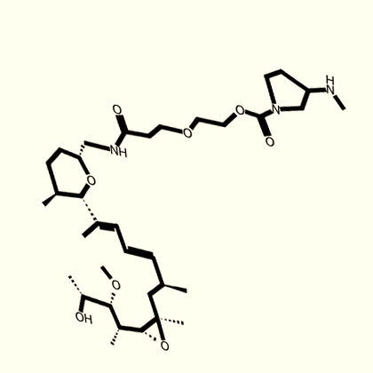 CNC1CCN(C(=O)OCCOCCC(=O)NC[C@H]2CC[C@H](C)[C@@H](/C(C)=C/C=C/[C@@H](C)C[C@@]3(C)O[C@@H]3[C@H](C)[C@@H](OC)[C@@H](C)O)O2)C1